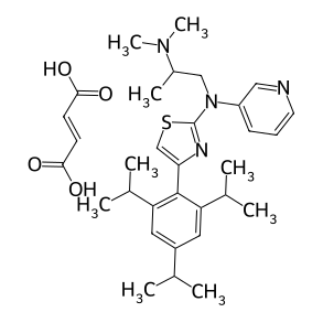 CC(C)c1cc(C(C)C)c(-c2csc(N(CC(C)N(C)C)c3cccnc3)n2)c(C(C)C)c1.O=C(O)C=CC(=O)O